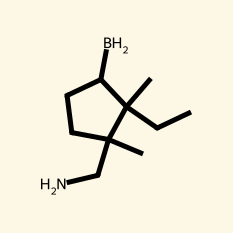 BC1CCC(C)(CN)C1(C)CC